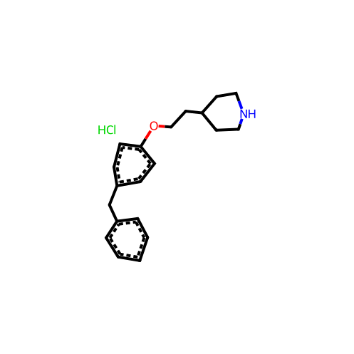 Cl.c1ccc(Cc2ccc(OCCC3CCNCC3)cc2)cc1